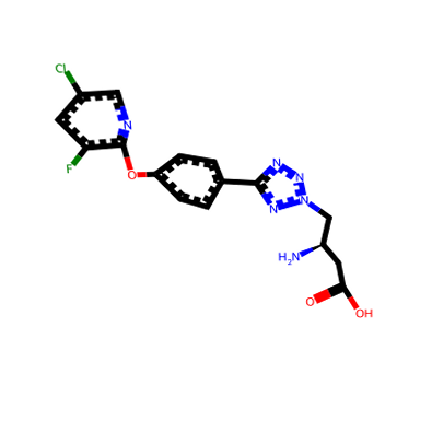 N[C@H](CC(=O)O)Cn1nnc(-c2ccc(Oc3ncc(Cl)cc3F)cc2)n1